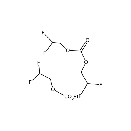 CCOC(=O)OCC(F)F.O=C(OCC(F)F)OCC(F)F